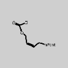 CCCCCC/C=C\COC(=O)Cl